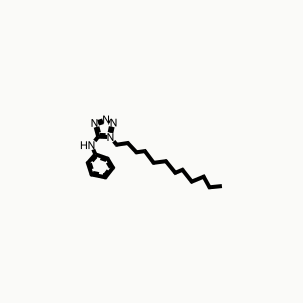 CCCCCCCCCCCCn1nnnc1Nc1ccccc1